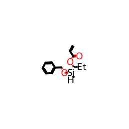 C=CC(=O)OC(CC)[SiH](C)OCc1ccccc1